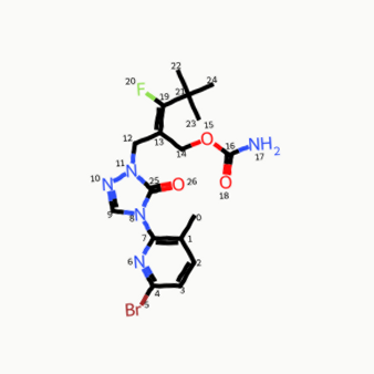 Cc1ccc(Br)nc1-n1cnn(C/C(COC(N)=O)=C(\F)C(C)(C)C)c1=O